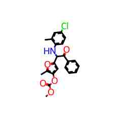 COC(=O)Oc1cc(C(Nc2ccc(Cl)cc2C)C(=O)c2ccccc2)oc1C